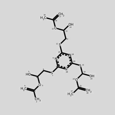 C=C(C)OC(O)CSc1nc(SCC(O)OC(=C)C)nc(SC(O)OC(=C)C)n1